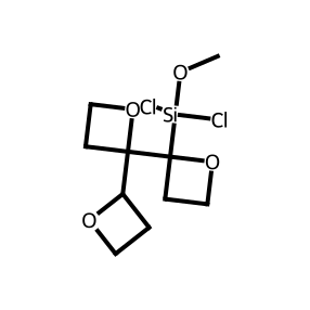 CO[Si](Cl)(Cl)C1(C2(C3CCO3)CCO2)CCO1